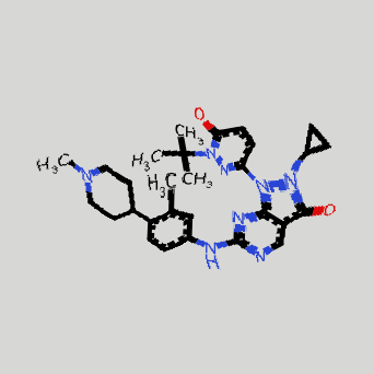 Cc1cc(Nc2ncc3c(=O)n(C4CC4)n(-c4ccc(=O)n(C(C)(C)C)n4)c3n2)ccc1C1CCN(C)CC1